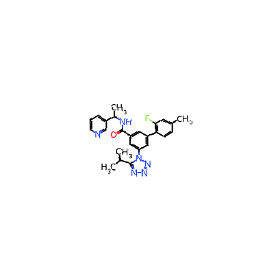 Cc1ccc(-c2cc(C(=O)NC(C)c3cccnc3)cc(-n3nnnc3C(C)C)c2)c(F)c1